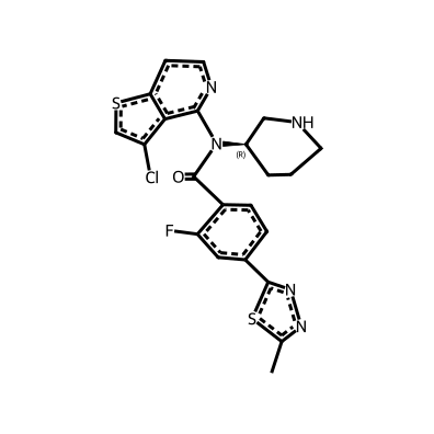 Cc1nnc(-c2ccc(C(=O)N(c3nccc4scc(Cl)c34)[C@@H]3CCCNC3)c(F)c2)s1